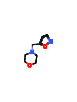 c1cc(CN2CCOCC2)on1